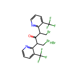 Br.O=C(C(CBr)c1ncccc1C(F)(F)F)C(CBr)c1ncccc1C(F)(F)F